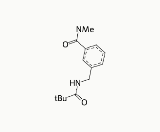 CNC(=O)c1cccc(CNC(=O)C(C)(C)C)c1